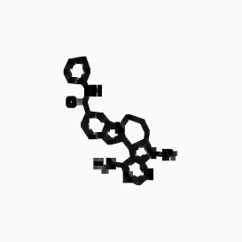 CC(C)n1c2c(c3c(N)ncnc31)-c1cc3ccc(C(=O)Nc4ccccc4)cc3n1CCC2